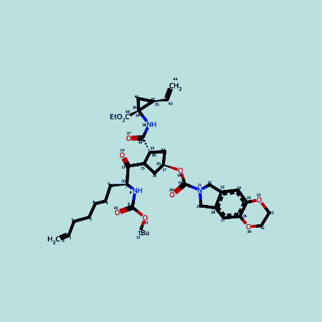 C=CCCCCC[C@H](NC(=O)OC(C)(C)C)C(=O)C1C[C@H](OC(=O)N2Cc3cc4c(cc3C2)OCCO4)C[C@H]1C(=O)N[C@]1(C(=O)OCC)C[C@H]1C=C